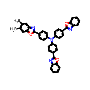 Bc1cc2nc(-c3ccc(N(c4ccc(-c5nc6ccccc6o5)cc4)c4ccc(-c5nc6ccccc6o5)cc4)cc3)oc2cc1B